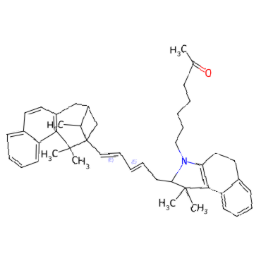 CC(=O)CCCCCN1C2=C(c3ccccc3CC2)C(C)(C)C1C/C=C/C=C/C12CC(Cc3ccc4ccccc4c3C1(C)C)C2C